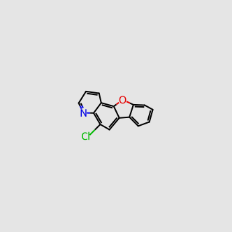 Clc1cc2c3ccccc3oc2c2cccnc12